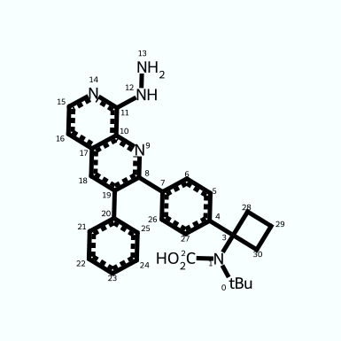 CC(C)(C)N(C(=O)O)C1(c2ccc(-c3nc4c(NN)nccc4cc3-c3ccccc3)cc2)CCC1